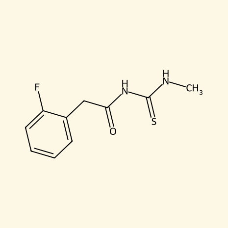 CNC(=S)NC(=O)Cc1ccccc1F